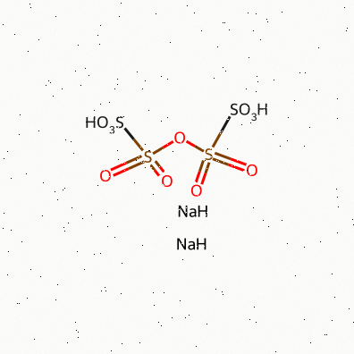 O=S(=O)(O)S(=O)(=O)OS(=O)(=O)S(=O)(=O)O.[NaH].[NaH]